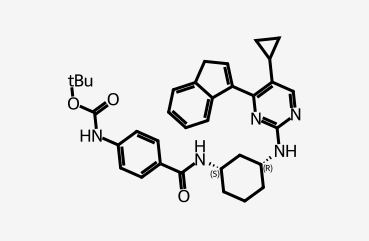 CC(C)(C)OC(=O)Nc1ccc(C(=O)N[C@H]2CCC[C@@H](Nc3ncc(C4CC4)c(C4=CCc5ccccc54)n3)C2)cc1